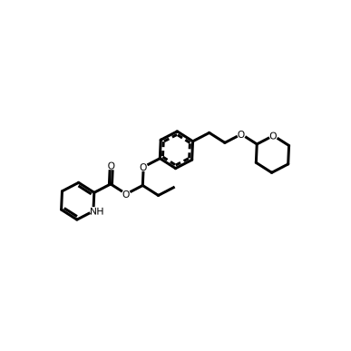 CCC(OC(=O)C1=CCC=CN1)Oc1ccc(CCOC2CCCCO2)cc1